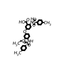 CCOc1cc(Oc2ccc(NS(=O)(=O)c3ccc(C)cc3)c(C(=O)O)c2)ccc1NS(=O)(=O)c1ccc(C)cc1